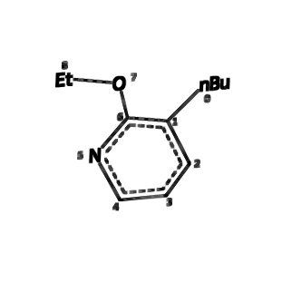 CCCCc1cccnc1OCC